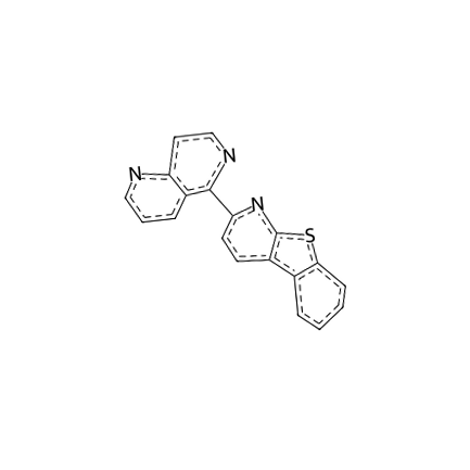 c1ccc2c(c1)sc1nc(-c3nccc4ncccc34)ccc12